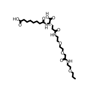 CCCOCCNC(=O)COCCOCCNC(=O)CC[C@H](NC(=O)CCCCCCC(=O)O)C(=O)O